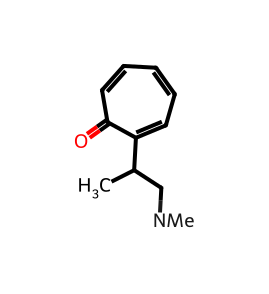 CNCC(C)c1cccccc1=O